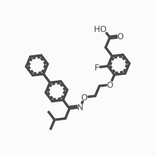 CC(C)CC(=NOCCOc1cccc(CC(=O)O)c1F)c1ccc(-c2ccccc2)cc1